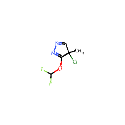 CC1(Cl)[C]=NN=C1OC(F)F